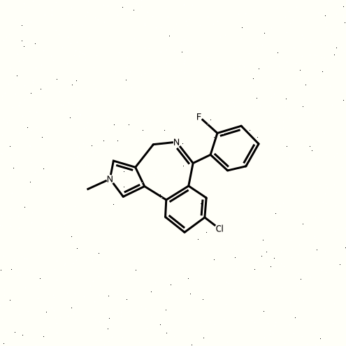 Cn1cc2c(c1)-c1ccc(Cl)cc1C(c1ccccc1F)=NC2